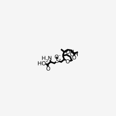 C/C1=C/C=C(/C)C2C(C[S+]([O-])CC(N)C(=O)O)OC(O1)C(O)C2O